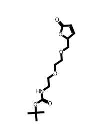 CC(C)(C)OC(=O)NCCOCCOCC1C=CC(=O)O1